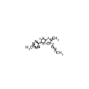 CC=NOCC(=O)N(C)Cc1ccc(-c2nnc(C)nn2)cc1